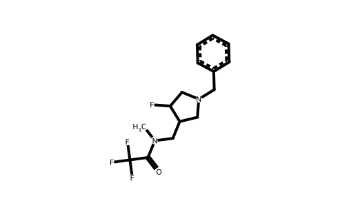 CN(CC1CN(Cc2ccccc2)CC1F)C(=O)C(F)(F)F